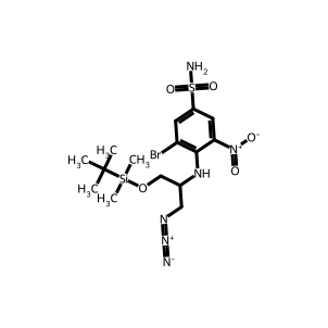 CC(C)(C)[Si](C)(C)OCC(CN=[N+]=[N-])Nc1c(Br)cc(S(N)(=O)=O)cc1[N+](=O)[O-]